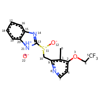 Cc1c(OCC(F)(F)F)ccnc1C[S+]([O-])C1=Nc2ccccc2[NH+]1[O-]